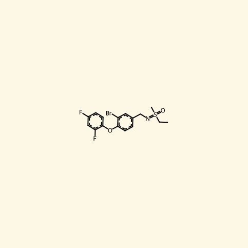 CCS(C)(=O)=NCc1ccc(Oc2ccc(F)cc2F)c(Br)c1